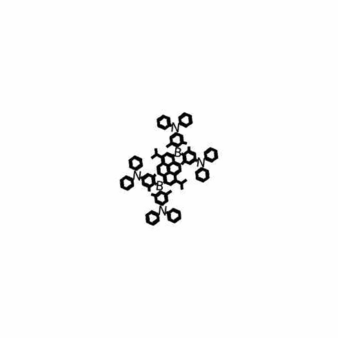 Cc1cc(N(c2ccccc2)c2ccccc2)cc(C)c1B(c1c(C)cc(N(c2ccccc2)c2ccccc2)cc1C)c1cc(C(C)C)c2ccc3c(B(c4c(C)cc(N(c5ccccc5)c5ccccc5)cc4C)c4c(C)cc(N(c5ccccc5)c5ccccc5)cc4C)cc(C(C)C)c4ccc1c2c34